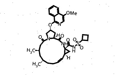 COc1cnc(O[C@@H]2C[C@H]3C(=O)N[C@]4(C(=O)NS(=O)(=O)C5CCC5)C[C@H]4/C=C\CC[C@H](C)C[C@@H](C)CC(=O)N3C2)c2ccccc12